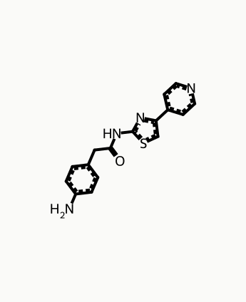 Nc1ccc(CC(=O)Nc2nc(-c3ccncc3)cs2)cc1